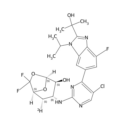 [2H][C@H]1[C@@H](Nc2ncc(Cl)c(-c3cc(F)c4nc(C(C)(C)O)n(C(C)C)c4c3)n2)[C@H](O)[C@H]2O[C@@H]1C(F)(F)O2